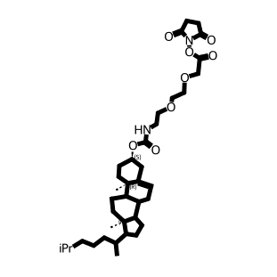 CC(C)CCCC(C)C1CCC2C3CC=C4C[C@@H](OC(=O)NCCOCCOCC(=O)ON5C(=O)CCC5=O)CC[C@]4(C)C3CC[C@]12C